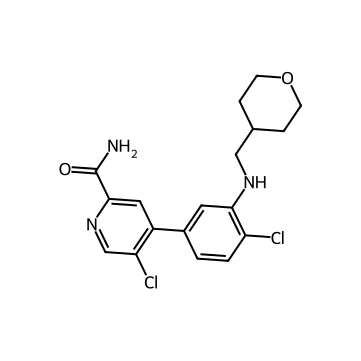 NC(=O)c1cc(-c2ccc(Cl)c(NCC3CCOCC3)c2)c(Cl)cn1